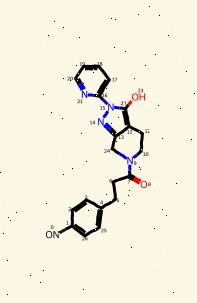 O=Nc1ccc(CCC(=O)N2CCc3c(nn(-c4ccccn4)c3O)C2)cc1